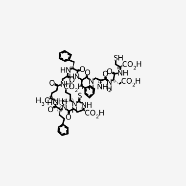 C[C@@H](CCC(=O)NCC(=O)N[C@@H](Cc1ccccc1)C(=O)NC(Cc1ccccc1)C(=O)NC[C@H](N)C(=O)N[C@@H](CC(=O)O)C(=O)N[C@@H](CS)C(=O)O)NC(=O)[C@H](CCc1ccccc1)NC(=O)CC[C@H](NC(=S)N[C@@H](CCC(=O)O)C(=O)O)C(=O)O